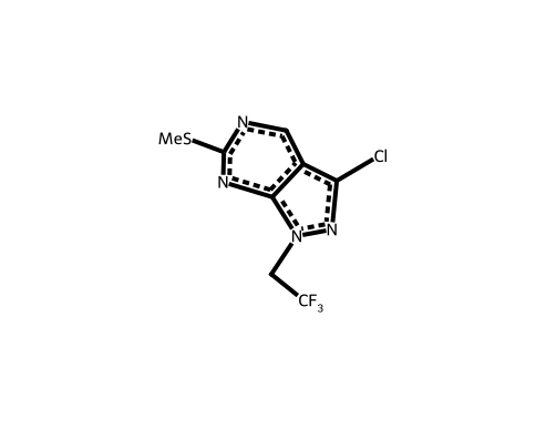 CSc1ncc2c(Cl)nn(CC(F)(F)F)c2n1